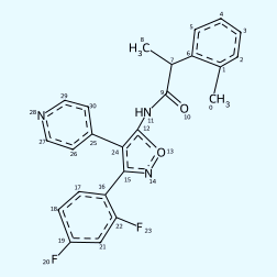 Cc1ccccc1C(C)C(=O)Nc1onc(-c2ccc(F)cc2F)c1-c1ccncc1